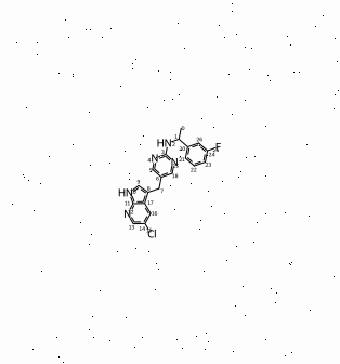 CC(Nc1ncc(Cc2c[nH]c3ncc(Cl)cc23)cn1)c1cccc(F)c1